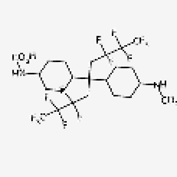 O=C(O)NC1CCC(C(CC(F)(F)C(F)(F)C(F)(F)F)(CC(F)(F)C(F)(F)C(F)(F)F)C2CCC(NC(=O)O)CC2)CC1